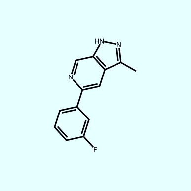 Cc1n[nH]c2cnc(-c3cccc(F)c3)cc12